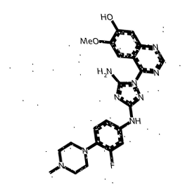 COc1cc2c(-n3nc(Nc4ccc(N5CCN(C)CC5)c(F)c4)nc3N)ncnc2cc1O